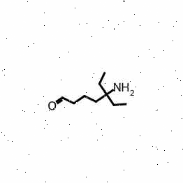 CCC(N)(CC)CCCC=O